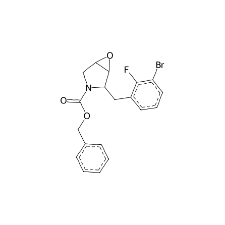 O=C(OCc1ccccc1)N1CC2OC2C1Cc1cccc(Br)c1F